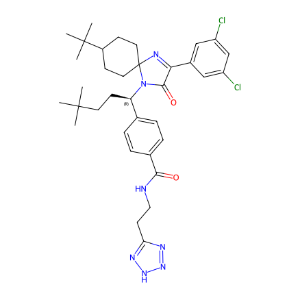 CC(C)(C)CC[C@H](c1ccc(C(=O)NCCc2nn[nH]n2)cc1)N1C(=O)C(c2cc(Cl)cc(Cl)c2)=NC12CCC(C(C)(C)C)CC2